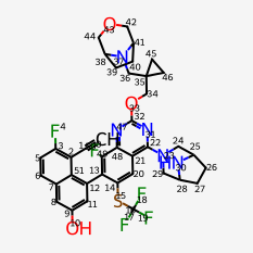 C#Cc1c(F)ccc2cc(O)cc(-c3c(SC(F)(F)F)cc4c(N5CC6CCC(C5)N6)nc(OCC5(CN6C7CCC6COC7)CC5)nc4c3F)c12